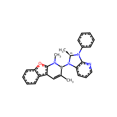 CC1=Cc2c(oc3ccccc23)N(C)B1N1c2cccnc2N(c2ccccc2)[C@@H]1C